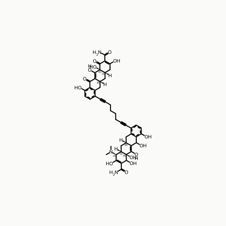 CN(C)[C@@H]1C(O)=C(C(N)=O)C(O)[C@@]2(O)C(O)=C3C(O)c4c(O)ccc(C#CCCCCC#Cc5ccc(O)c6c5C[C@H]5C[C@H]7CC(O)=C(C(N)=O)C(=O)[C@@]7(O)C(O)=C5C6=O)c4C[C@H]3C[C@@H]12